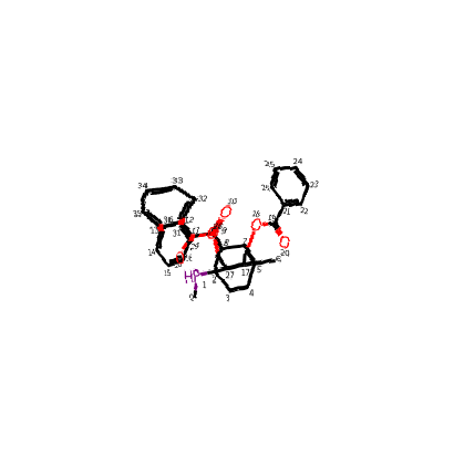 CPC12CCC(C)(CC1C(=O)c1ccccc1)C(OC(=O)c1ccccc1)C2OC(=O)c1ccccc1